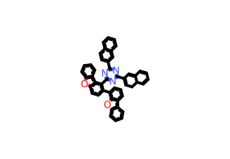 C1=CC2=CC(c3nc(-c4ccc5ccccc5c4)nc(-c4c(-c5cccc6c5oc5ccccc56)ccc5oc6ccccc6c45)n3)=CCC2C=C1